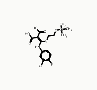 C[Si](C)(C)OCCSC(Nc1ccc(F)c(Cl)c1)=C(C(=O)O)C(=O)O